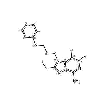 CCc1nc2c(N)nc(C)c(C)c2n1CCCSc1ccccc1